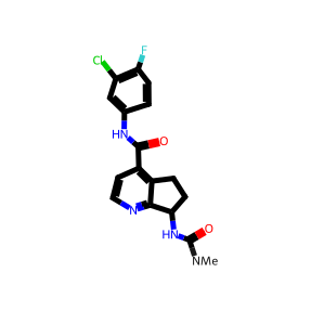 CNC(=O)NC1CCc2c(C(=O)Nc3ccc(F)c(Cl)c3)ccnc21